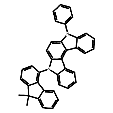 CC1(C)c2ccccc2-c2c(-n3c4ccccc4c4c5c6ccccc6n(-c6ccccc6)c5ccc43)cccc21